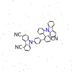 N#Cc1ccc(-c2ccc(-n3c4ccc(C#N)cc4c4c(C#N)cccc43)cc2)c(-c2ccccc2-n2c3ccccc3c3ccccc32)c1